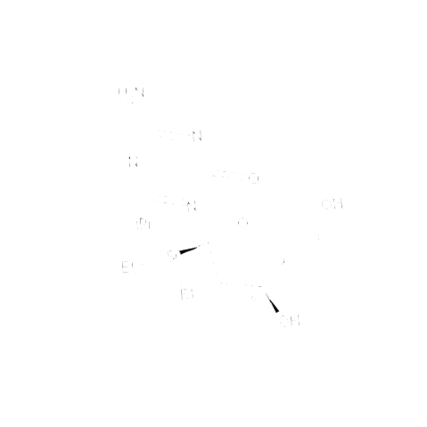 CC[Si](CC)(C(C)C)[C@]1(n2cnc(N)nc2=O)C[C@H](O)[C@@H](CO)O1